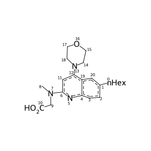 CCCCCCc1ccc2nc(N(C)CC(=O)O)cc(N3CCOCC3)c2c1